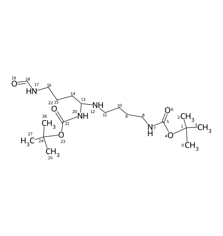 CC(C)(C)OC(=O)NCCCCNC(CCCNC=O)NC(=O)OC(C)(C)C